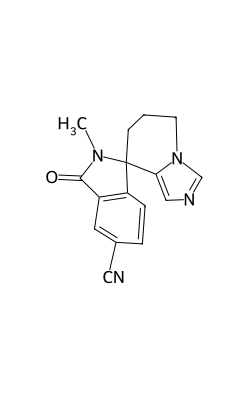 CN1C(=O)c2cc(C#N)ccc2C12CCCn1cncc12